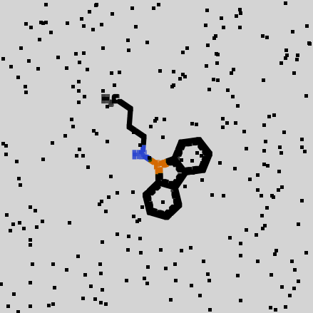 CCCCNp1c2ccccc2c2ccccc21